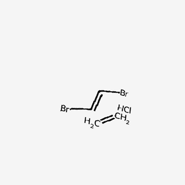 BrC=CBr.C=C.Cl